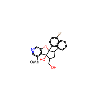 COc1cncc2c1C1(O)C(CO)CC(c3ccccc3)C1(c1ccc(Br)cc1)O2